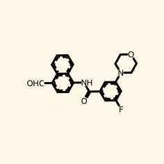 O=Cc1ccc(NC(=O)c2cc(F)cc(N3CCOCC3)c2)c2ccccc12